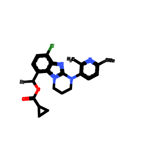 CCC(OC(=O)C1CC1)c1ccc(Cl)c2nc3n(c12)CCCN3c1ccc(OC)nc1C